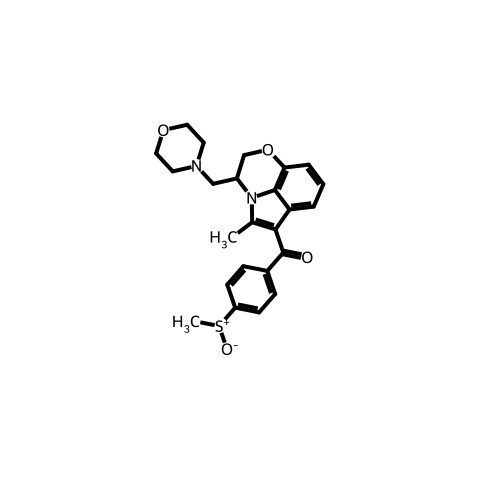 Cc1c(C(=O)c2ccc([S+](C)[O-])cc2)c2cccc3c2n1C(CN1CCOCC1)CO3